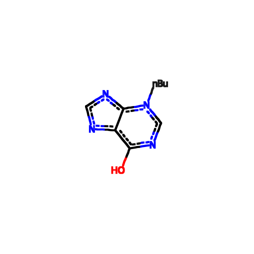 CCCCn1cnc(O)c2ncnc1-2